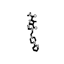 Cc1c(C(=O)N(C)C)sc2ncn(CCN3CCN(c4ccccn4)CC3)c(=O)c12